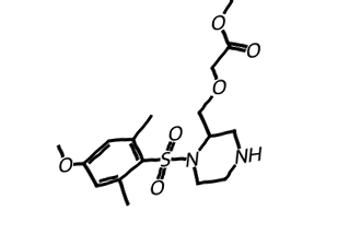 CCOC(=O)COCC1CNCCN1S(=O)(=O)c1c(C)cc(OC)cc1C